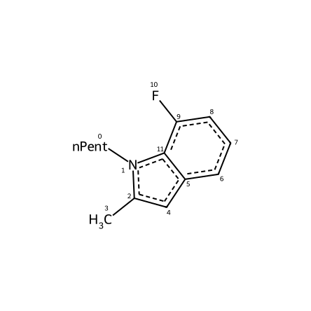 CCCCCn1c(C)cc2cccc(F)c21